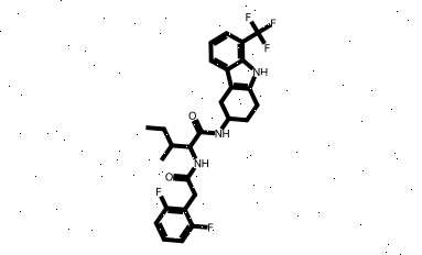 CCC(C)C(NC(=O)Cc1c(F)cccc1F)C(=O)NC1CCc2[nH]c3c(C(F)(F)F)cccc3c2C1